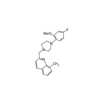 COc1cc(F)ccc1N1CCN(Cc2ccc3cccc(C)c3n2)CC1